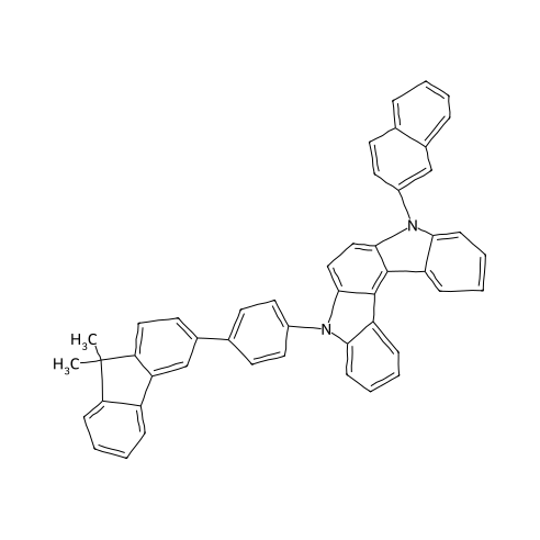 CC1(C)c2ccccc2-c2cc(-c3ccc(-n4c5ccccc5c5c6c7ccccc7n(-c7ccc8ccccc8c7)c6ccc54)cc3)ccc21